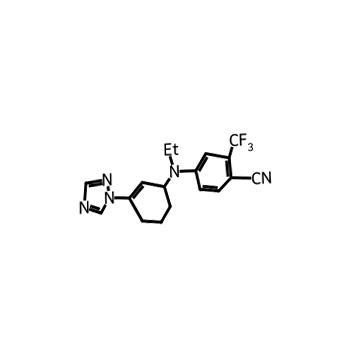 CCN(c1ccc(C#N)c(C(F)(F)F)c1)C1C=C(n2cncn2)CCC1